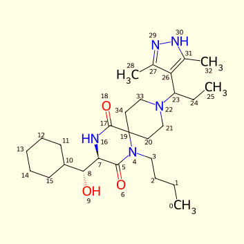 CCCCN1C(=O)[C@@H]([C@H](O)C2CCCCC2)NC(=O)C12CCN(C(CC)c1c(C)n[nH]c1C)CC2